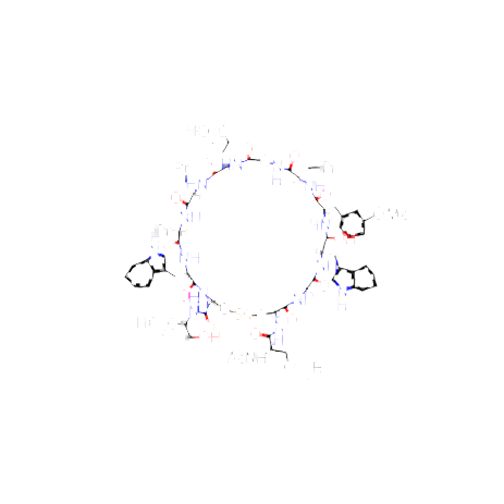 COc1cccc(C[C@@H]2NC(O)[C@H](Cc3c[nH]c4ccccc34)NC(=O)[C@H](C)NC(=O)[C@@H](NC(=O)[C@H](CC(=O)O)NC(C)=O)CSSC[C@@H](C(=O)N[C@H](C(=O)O)[C@@H](C)O)NC(=O)[C@H](Cc3c[nH]c4ccccc34)NC(=O)[C@H](C(C)C)NC(=O)[C@H](CC(C)C)NC(=O)[C@H](CCC(=O)O)NC(=O)CNC(=O)[C@H](CC(C)C)NC2=O)c1